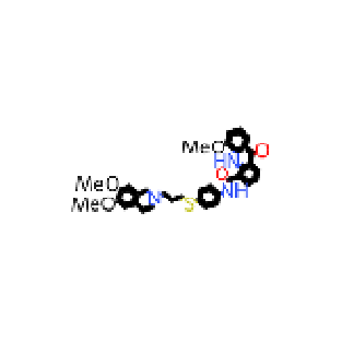 COc1cc2c(cc1OC)CN(CCCSc1ccc(NC(=O)c3cccc4c(=O)c5cccc(OC)c5[nH]c34)cc1)CC2